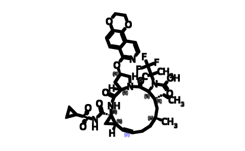 CC[C@@H]1C[C@@H](C)CC/C=C\[C@@H]2C[C@@]2(C(=O)NS(=O)(=O)C2CC2)NC(=O)[C@@H]2C[C@@H](Oc3nccc4c5c(ccc34)OCCO5)CN2C(=O)[C@H]1N(C(=O)O)C(C)(C)C(F)(F)F